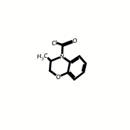 CC1COc2ccccc2N1C(=O)Cl